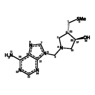 CSC[C@H]1CN(Cn2cnc3c(N)ncnc32)C[C@@H]1O